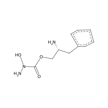 N[C@@H](COC(=O)N(N)O)Cc1ccccc1